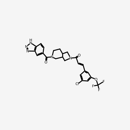 O=C(/C=C/c1cc(Cl)cc(OC(F)(F)F)c1)N1CC2CCN(C(=O)c3ccc4[nH]nnc4c3)CC2C1